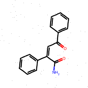 NC(=O)C(=CC(=O)c1ccccc1)c1ccccc1